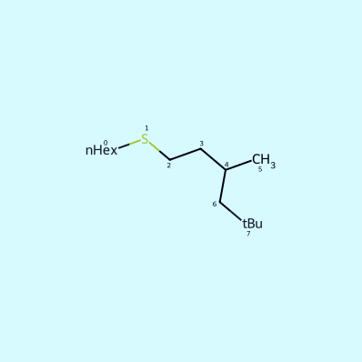 [CH2]CCCCCSCCC(C)CC(C)(C)C